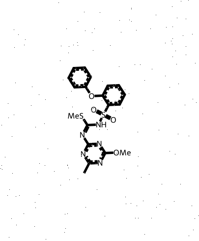 COc1nc(C)nc(N=C(NS(=O)(=O)c2ccccc2Oc2ccccc2)SC)n1